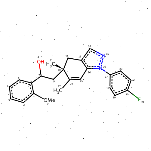 COc1ccccc1C(O)C[C@]1(C)Cc2cnn(-c3ccc(F)cc3)c2C=C1C